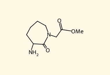 COC(=O)CN1CCCCC(N)C1=O